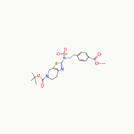 COC(=O)c1ccc(CCN(c2nc3c(s2)CN(C(=O)OC(C)(C)C)CC3)[SH](=O)=O)cc1